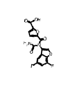 NC(=O)N(C(=O)c1ccc(C(=O)O)o1)c1coc2c(F)cc(F)cc12